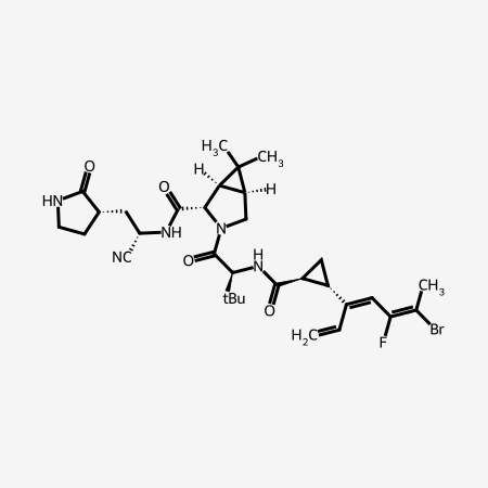 C=C/C(=C\C(F)=C(/C)Br)[C@H]1C[C@@H]1C(=O)N[C@H](C(=O)N1C[C@H]2[C@@H]([C@H]1C(=O)N[C@H](C#N)C[C@@H]1CCNC1=O)C2(C)C)C(C)(C)C